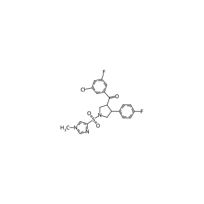 Cn1cnc(S(=O)(=O)N2CC(C(=O)c3cc(F)cc(Cl)c3)C(c3ccc(F)cc3)C2)c1